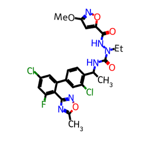 CCN(NC(=O)c1cc(OC)no1)C(=O)NC(C)c1ccc(-c2cc(Cl)cc(F)c2-c2noc(C)n2)cc1Cl